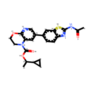 CC(=O)Nc1nc2ccc(-c3cnc4c(c3)N(C(=O)OC(C)C3CC3)CCO4)cc2s1